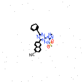 CS(=O)(=O)Nc1ncnn1-c1nc(-c2ccccc2)nc(-c2ccc3cc(C#N)ccc3c2)n1